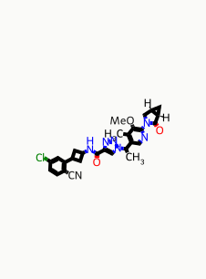 COc1c(N2C[C@H]3C[C@H]3C2=O)ncc(C(C)n2cc(C(=O)NC3CC(c4cc(Cl)ccc4C#N)C3)nn2)c1C